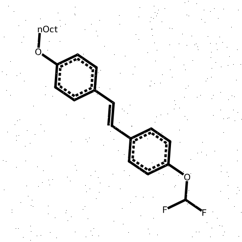 CCCCCCCCOc1ccc(C=Cc2ccc(OC(F)F)cc2)cc1